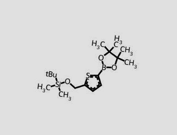 CC1(C)OB(c2ccc(CO[Si](C)(C)C(C)(C)C)s2)OC1(C)C